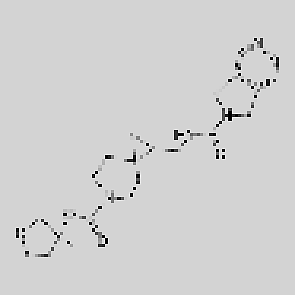 CC1(OC(=O)N2CCC3(CC2)CC3CNC(=O)N2Cc3ccncc3C2)CCOC1